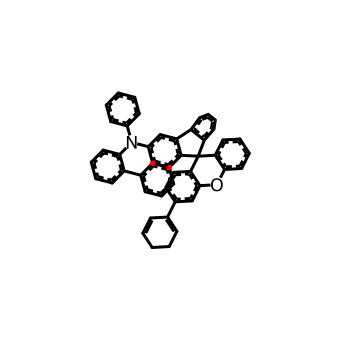 C1=CC(c2ccc3c(c2)Oc2ccccc2C32c3ccccc3-c3cc(N(c4ccccc4)c4ccccc4-c4ccccc4)ccc32)=CCC1